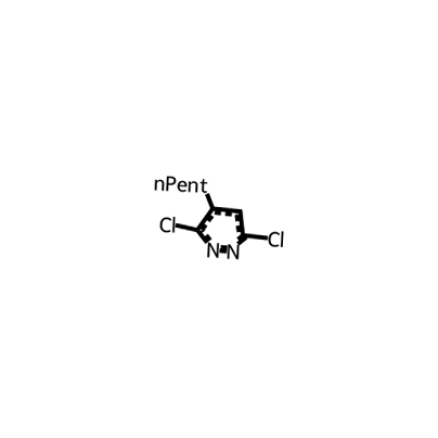 CCCCCc1cc(Cl)nnc1Cl